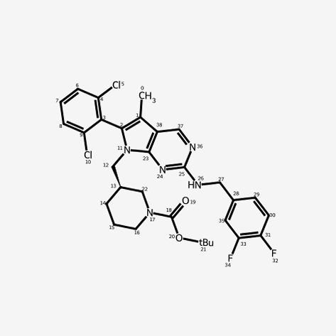 Cc1c(-c2c(Cl)cccc2Cl)n(C[C@@H]2CCCN(C(=O)OC(C)(C)C)C2)c2nc(NCc3ccc(F)c(F)c3)ncc12